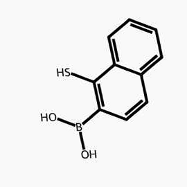 OB(O)c1ccc2ccccc2c1S